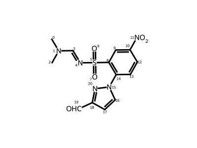 CN(C)C=NS(=O)(=O)c1cc([N+](=O)[O-])ccc1-n1ccc(C=O)n1